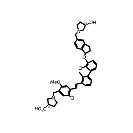 COc1cc(/C=C/c2cccc(-c3cccc(OC4CCc5cc(CN6CC[C@@H](O)C6)ccc54)c3Cl)c2C)c(Cl)cc1CN1CC[C@@H](C(=O)O)C1